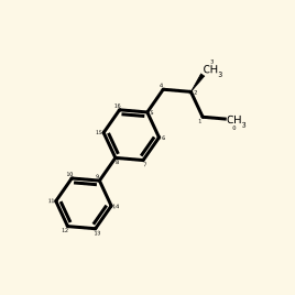 CC[C@H](C)Cc1ccc(-c2ccccc2)cc1